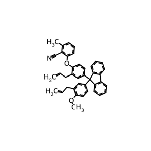 C=CCc1cc(C2(c3ccc(Oc4cccc(C)c4C#N)c(CC=C)c3)c3ccccc3-c3ccccc32)ccc1OC